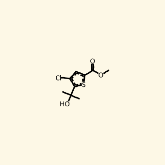 COC(=O)c1cc(Cl)c(C(C)(C)O)s1